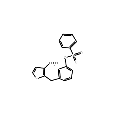 O=C(O)c1ccsc1Cc1cccc(OS(=O)(=O)c2ccccc2)c1